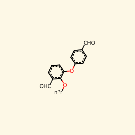 CCCOc1c(C=O)cccc1Oc1ccc(C=O)cc1